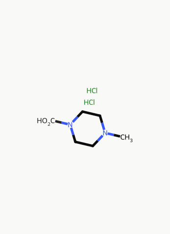 CN1CCN(C(=O)O)CC1.Cl.Cl